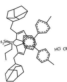 CC[CH2][Zr]([CH3])(=[SiH2])([CH]1C(CC2C3CC4CC(C3)CC2C4)=Cc2c(-c3ccc(C)cc3)cccc21)[CH]1C(CC2C3CC4CC(C3)CC2C4)=Cc2c(-c3ccc(C)cc3)cccc21.Cl.Cl